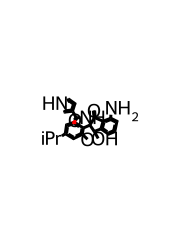 CC(C)c1ccc2c(c1)OC1(O)c3cccc(N)c3C(=O)C21NC(=O)c1cc[nH]c1